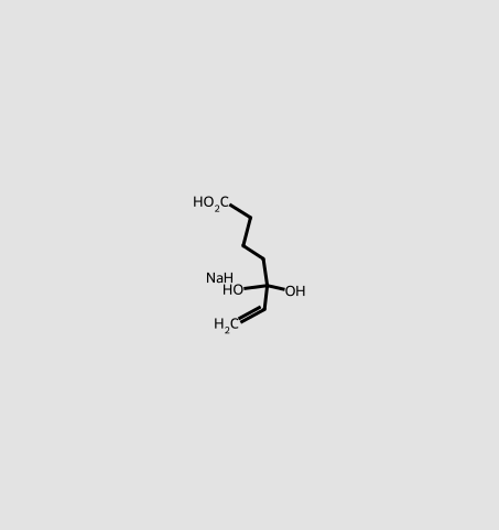 C=CC(O)(O)CCCC(=O)O.[NaH]